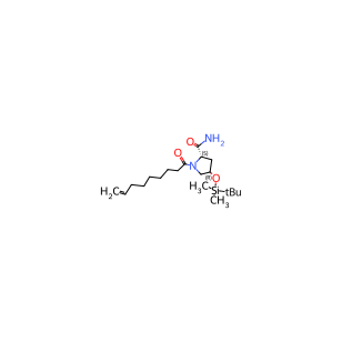 C=CCCCCCCC(=O)N1C[C@H](O[Si](C)(C)C(C)(C)C)C[C@H]1C(N)=O